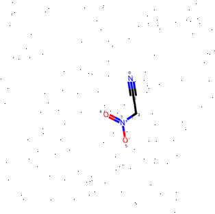 N#CC[N+](=O)[O-]